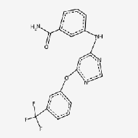 NC(=O)c1cccc(Nc2cc(Oc3cccc(C(F)(F)F)c3)ncn2)c1